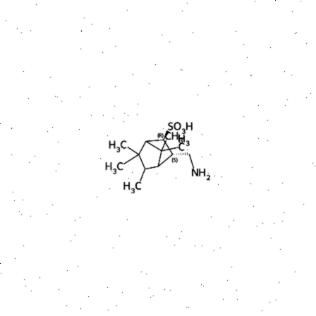 CC1C2[C@@H](CN)[C@H](S(=O)(=O)O)C(C1(C)C)C2(C)C